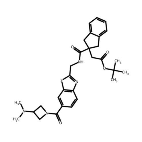 CN(C)C1CN(C(=O)c2ccc3nc(CNC(=O)C4(CC(=O)OC(C)(C)C)Cc5ccccc5C4)sc3c2)C1